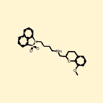 COc1cccc2c1OC(CNCCCCN1c3cccc4cccc(c34)S1(=O)=O)CC2